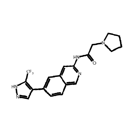 O=C(CN1CCCC1)Nc1cc2cc(-c3cn[nH]c3C(F)(F)F)ccc2cn1